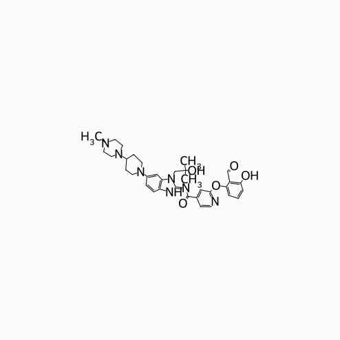 CN1CCN(C2CCN(c3ccc4[nH]/c(=N\C(=O)c5ccnc(Oc6cccc(O)c6C=O)c5)n(CC(C)(C)O)c4c3)CC2)CC1